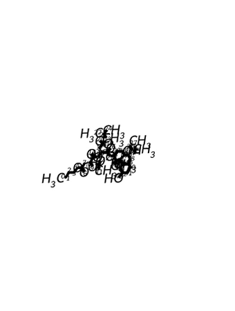 CCCCOC(=O)C[C@H](OC(C)=O)C(=O)O[C@@H](CC(=O)OC(C)(C)C)C(=O)OC1=CC[C@@]2(O)[C@H](N(C)CC)Cc3ccc(O)c4c3[C@@]2(C)[C@H]1O4